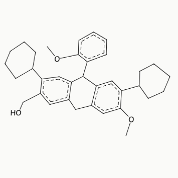 COc1cc2c(cc1C1CCCCC1)C(c1ccccc1OC)c1cc(C3CCCCC3)c(CO)cc1C2